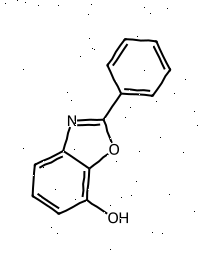 Oc1cccc2nc(-c3ccccc3)oc12